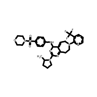 CC1CCCN1C1=NC(Nc2ccc(S(=O)(=O)N3CCOCC3)cc2)C2=CCN(c3ncccc3C(F)(F)F)CCC2=N1